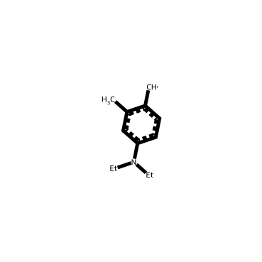 [CH]c1ccc(N(CC)CC)cc1C